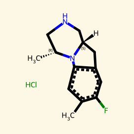 Cc1cc2c(cc1F)C[C@H]1CNC[C@@H](C)N21.Cl